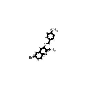 Cc1ccc(COc2cc3cc(Br)ccc3nc2N)cc1